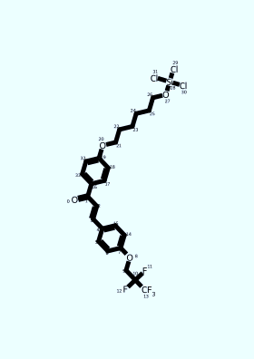 O=C(C=Cc1ccc(OCC(F)(F)C(F)(F)F)cc1)c1ccc(OCCCCCCO[Si](Cl)(Cl)Cl)cc1